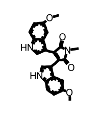 COc1ccc2[nH]cc(C3=C(c4c[nH]c5ccc(OC)cc45)C(=O)N(C)C3=O)c2c1